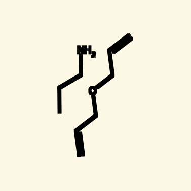 C=CCOCC=C.CCCN